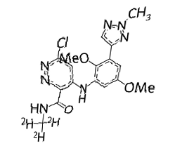 [2H]C([2H])([2H])NC(=O)c1nnc(Cl)cc1Nc1cc(OC)cc(-c2cnn(C)n2)c1OC